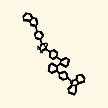 c1ccc(-c2ccccc2-c2ccc(-n3c4ccccc4c4ccccc43)cc2)c(-c2ccc(-c3nnc(-c4ccc(-c5ccc6ccccc6c5)cc4)o3)cc2)c1